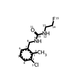 Cc1c(Cl)cccc1CNC(=O)NCCF